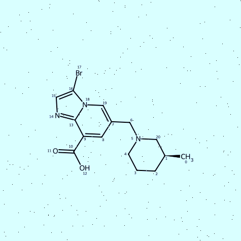 C[C@H]1CCCN(Cc2cc(C(=O)O)c3ncc(Br)n3c2)C1